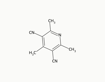 [C-]#[N+]c1c(C)nc(C)c(C#N)c1C